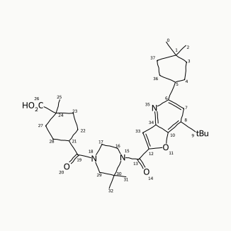 CC1(C)CCC(c2cc(C(C)(C)C)c3oc(C(=O)N4CCN(C(=O)C5CCC(C)(C(=O)O)CC5)CC4(C)C)cc3n2)CC1